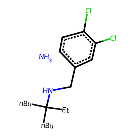 CCCCC(CC)(CCCC)NCc1ccc(Cl)c(Cl)c1.N